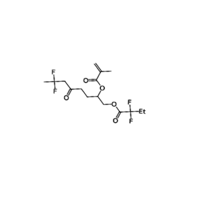 C=C(C)C(=O)OC(CCC(=O)CC(C)(F)F)COC(=O)C(F)(F)CC